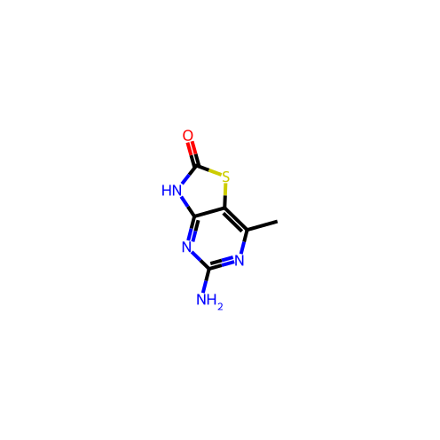 Cc1nc(N)nc2[nH]c(=O)sc12